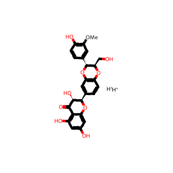 COc1cc([C@H]2Oc3cc([C@H]4Oc5cc(O)cc(O)c5C(=O)[C@@H]4O)ccc3O[C@@H]2CO)ccc1O.[H+].[H+]